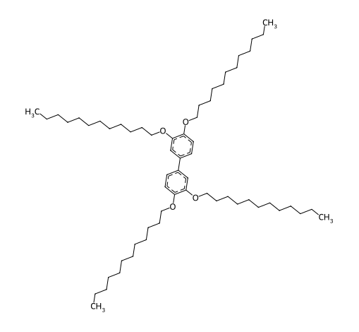 CCCCCCCCCCCCOc1ccc(-c2ccc(OCCCCCCCCCCCC)c(OCCCCCCCCCCCC)c2)cc1OCCCCCCCCCCCC